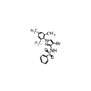 Cc1cc(C)c(-n2cc(Br)c(NS(=O)(=O)c3ccccc3)n2)c(C)c1